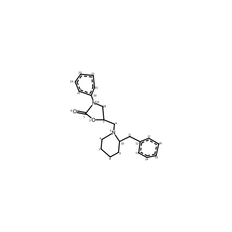 O=C1OC(CN2CCCCC2Cc2ccccc2)CN1c1ccccc1